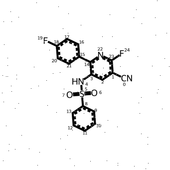 N#Cc1cc(NS(=O)(=O)c2ccccc2)c(-c2ccc(F)cc2)nc1F